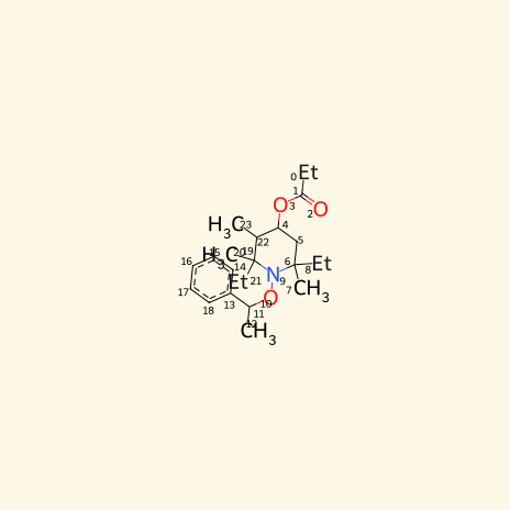 CCC(=O)OC1CC(C)(CC)N(OC(C)c2ccccc2)C(C)(CC)C1C